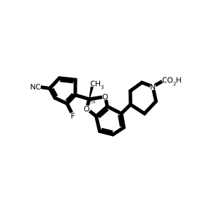 C[C@]1(c2ccc(C#N)cc2F)Oc2cccc(C3CCN(C(=O)O)CC3)c2O1